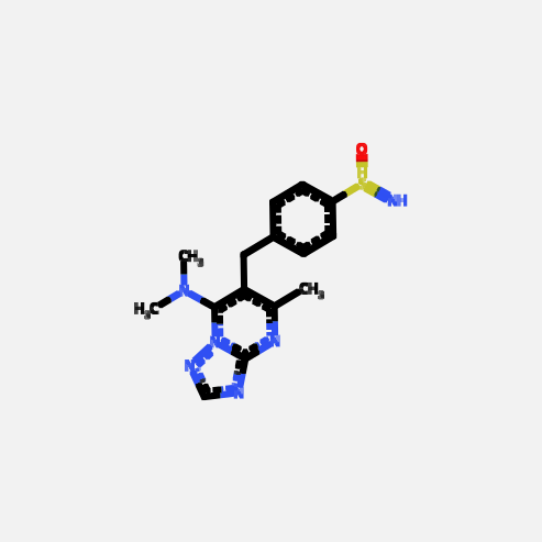 Cc1nc2ncnn2c(N(C)C)c1Cc1ccc([SH](=N)=O)cc1